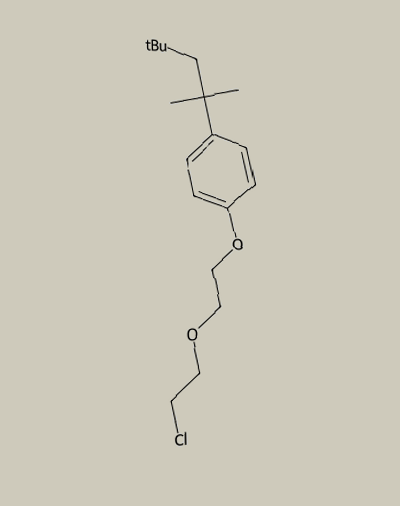 CC(C)(C)CC(C)(C)c1ccc(OCCOCCCl)cc1